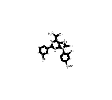 COc1ccc(-n2c(=O)[nH]c3c(C(N)=O)nc(-c4cccc(O)c4)nc32)c(F)c1